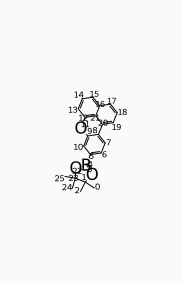 CC1(C)OB(c2ccc3c(c2)Oc2cccc4cccc-3c24)OC1(C)C